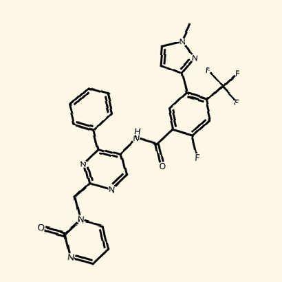 Cn1ccc(-c2cc(C(=O)Nc3cnc(Cn4cccnc4=O)nc3-c3ccccc3)c(F)cc2C(F)(F)F)n1